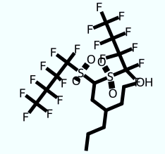 CCCC(CCO)CC(S(=O)(=O)C(F)(F)C(F)(F)C(F)(F)C(F)(F)F)S(=O)(=O)C(F)(F)C(F)(F)C(F)(F)C(F)(F)F